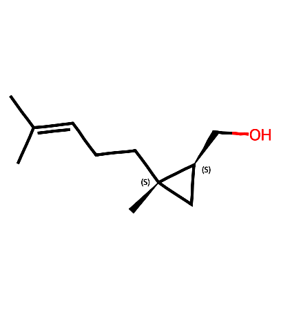 CC(C)=CCC[C@@]1(C)C[C@@H]1CO